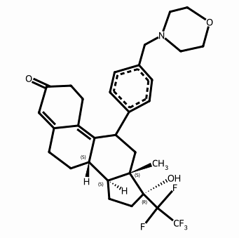 C[C@]12CC(c3ccc(CN4CCOCC4)cc3)C3=C4CCC(=O)C=C4CC[C@H]3[C@@H]1CC[C@]2(O)C(F)(F)C(F)(F)F